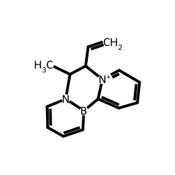 C=CC1C(C)N2C=CC=CB2c2cccc[n+]21